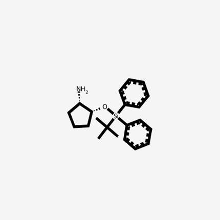 CC(C)(C)[Si](O[C@@H]1CCC[C@@H]1N)(c1ccccc1)c1ccccc1